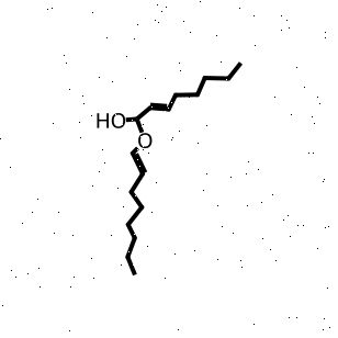 CCCCCC=CC(O)OC=CCCCCCC